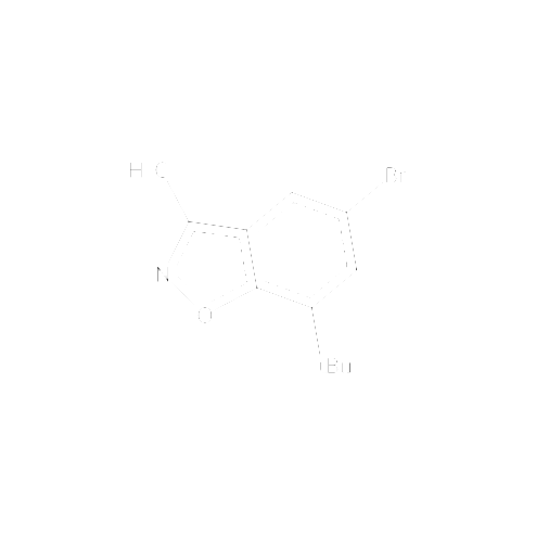 Cc1noc2c(C(C)(C)C)cc(Br)cc12